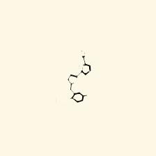 Cc1ccc(C)c(CC2CC=C(c3cccc(C#N)n3)S2)c1